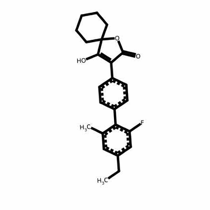 CCc1cc(C)c(-c2ccc(C3=C(O)C4(CCCCC4)OC3=O)cc2)c(F)c1